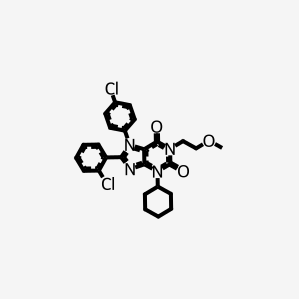 COCCn1c(=O)c2c(nc(-c3ccccc3Cl)n2-c2ccc(Cl)cc2)n(C2CCCCC2)c1=O